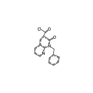 O=C(Cl)c1cc2cccnc2n(Cc2ccccc2)c1=O